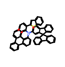 c1ccc(N(c2ccc3c(c2)C2(c4ccccc4-c4ccccc42)c2ccccc2-3)c2cccc3c4ccccc4c4ccccc4c23)c(-c2cc3ccccc3s2)c1